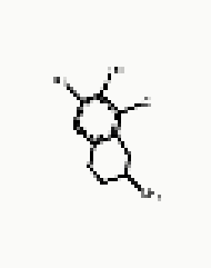 NC1CCc2cc(O)c(O)c(Cl)c2C1